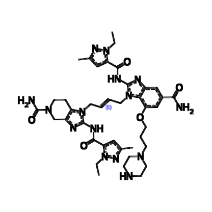 CCn1nc(C)cc1C(=O)Nc1nc2c(n1C/C=C/Cn1c(NC(=O)c3cc(C)nn3CC)nc3cc(C(N)=O)cc(OCCCN4CCNCC4)c31)CCN(C(N)=O)C2